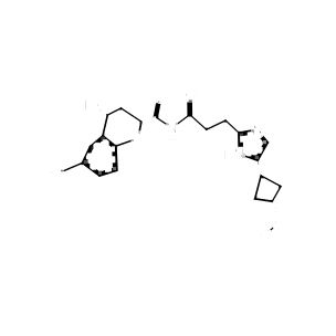 C=C(CCc1ncc([C@H]2C[C@@H](OC(F)(F)F)C2)[nH]1)NC(=O)[C@H]1C[C@@H](O)c2cc(Cl)ccc2O1